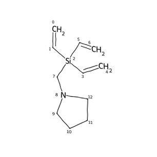 C=C[Si](C=C)(C=C)CN1CCCC1